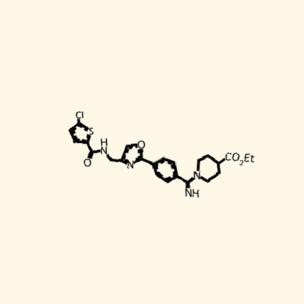 CCOC(=O)C1CCN(C(=N)c2ccc(-c3nc(CNC(=O)c4ccc(Cl)s4)co3)cc2)CC1